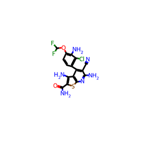 N#Cc1c(N)nc2sc(C(N)=O)c(N)c2c1-c1ccc(OC(F)F)c(N)c1Cl